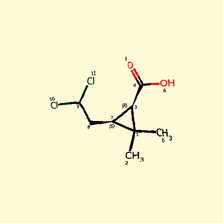 CC1(C)[C@H](C(=O)O)[C@@H]1CC(Cl)Cl